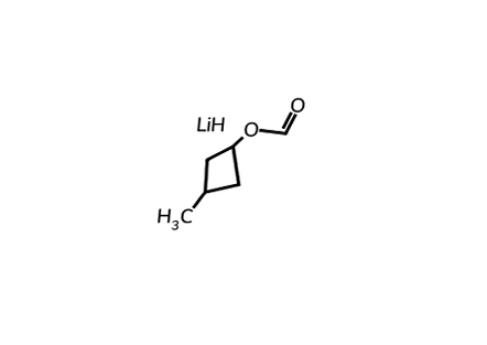 CC1CC(OC=O)C1.[LiH]